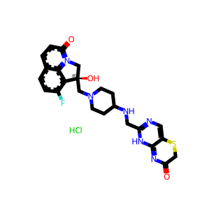 Cl.O=C1CSC2=CN=C(CNC3CCN(C[C@@]4(O)Cn5c(=O)ccc6ccc(F)c4c65)CC3)NC2=N1